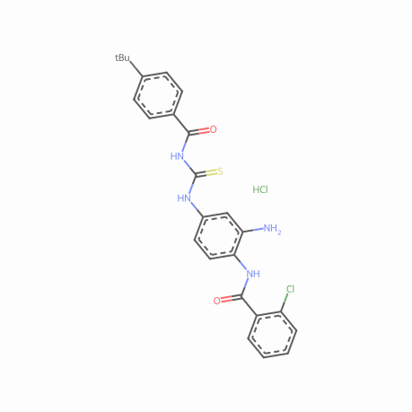 CC(C)(C)c1ccc(C(=O)NC(=S)Nc2ccc(NC(=O)c3ccccc3Cl)c(N)c2)cc1.Cl